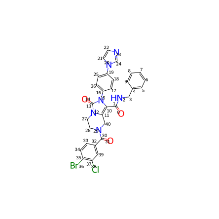 O=C(NCc1ccccc1)c1c2n(c(=O)n1-c1ccc(-n3ccnc3)cc1)CCN(C(=O)c1ccc(Br)c(Cl)c1)C2